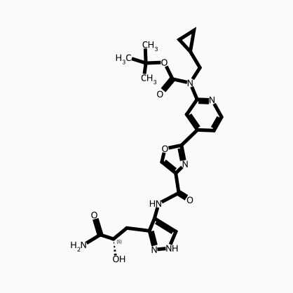 CC(C)(C)OC(=O)N(CC1CC1)c1cc(-c2nc(C(=O)Nc3c[nH]nc3C[C@H](O)C(N)=O)co2)ccn1